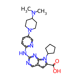 CN(C)C1CCN(c2ccc(Nc3ncc4cc(C(=O)O)n(C5CCCC5)c4n3)nc2)CC1